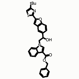 CC(C)(C)c1csc(-c2cc3cc(C(O)Cn4cc(C(=O)OCc5ccccc5)c5ccccc54)ccc3o2)n1